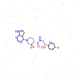 C[C@@H](NC(=O)[C@H]1CCN(c2ncnc3[nH]ccc23)CC12CC2)[C@@H](O)c1ccc(F)cn1